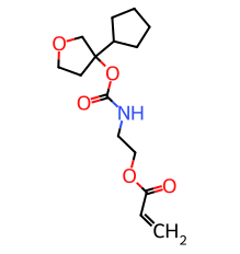 C=CC(=O)OCCNC(=O)OC1(C2CCCC2)CCOC1